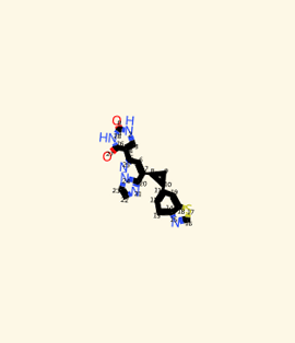 O=c1[nH]cc(-c2cc([C@H]3C[C@@H]3c3ccc4ncsc4c3)c3nccn3n2)c(=O)[nH]1